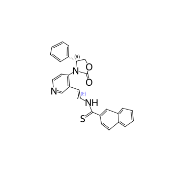 O=C1OC[C@@H](c2ccccc2)N1c1ccncc1/C=[C]/NC(=S)c1ccc2ccccc2c1